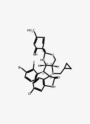 N=C1C=C(C(=O)O)C=C/C1=C1/N[C@@H]2[C@H](CO1)N(CC1CC1)[C@@]1(C(=O)Nc3cc(Cl)ccc31)[C@H]2c1cccc(Br)c1F